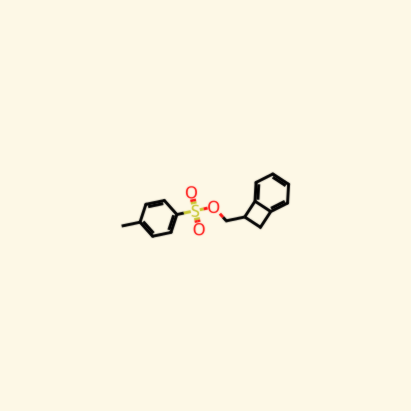 Cc1ccc(S(=O)(=O)OCC2Cc3ccccc32)cc1